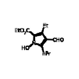 CCCc1c(C=O)c(CC)c(C(=O)OCC)n1O